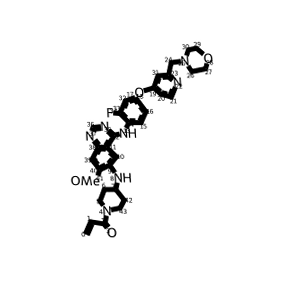 C=CC(=O)N1CCC(Nc2cc3c(Nc4ccc(Oc5ccnc(CN6CCOCC6)c5)cc4F)ncnc3cc2OC)CC1